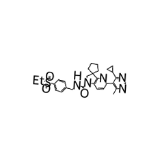 CCS(=O)(=O)c1ccc(CNC(=O)N2CC3(CCCC3)c3nc(-c4c(C)ncnc4C4CC4)ccc32)cc1